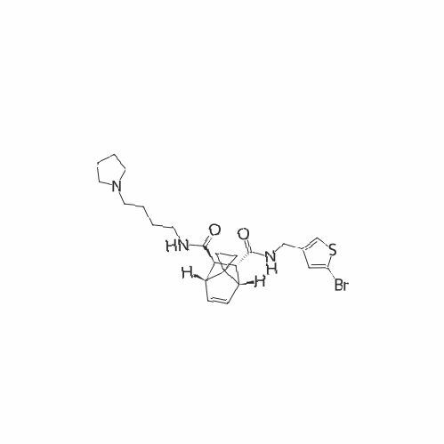 O=C(NCCCCN1CCCC1)[C@H]1[C@H](C(=O)NCc2csc(Br)c2)[C@@H]2C=C[C@H]1C21CC1